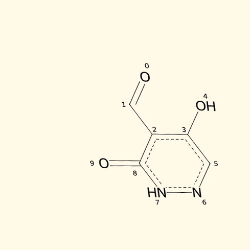 O=Cc1c(O)cn[nH]c1=O